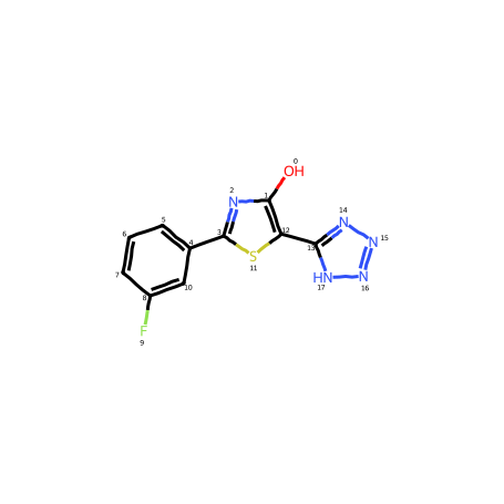 Oc1nc(-c2cccc(F)c2)sc1-c1nnn[nH]1